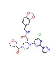 O=C(CC1CN(C(=O)C2CCOC2)CCN1c1cc(Cl)nc(-n2ccnc2)n1)NCc1ccc2c(c1)OCO2